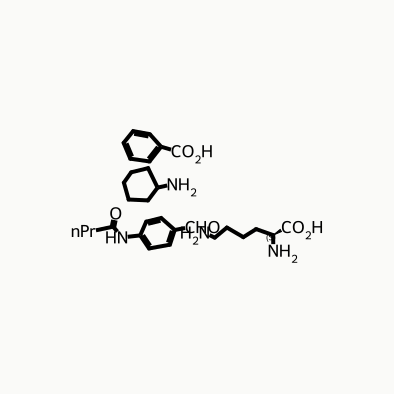 CCCC(=O)Nc1ccc(C=O)cc1.NC1CCCCC1.NCCCC[C@H](N)C(=O)O.O=C(O)c1ccccc1